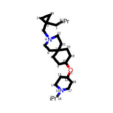 CC(C)CC1(CN2CCC3(CCC(OC4CCN(C(C)C)CC4)CC3)CC2)CC1